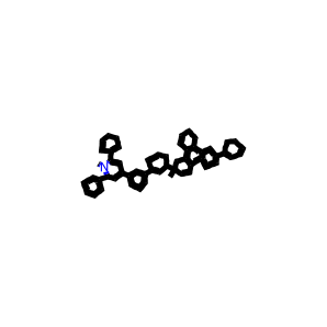 CN1C(C2=CCCC=C2)=CC(c2cccc(C3=CC(C4(C)C=Cc5c(c6c(c7cc(C8=CC=CCC8)ccc57)CCC=C6)C4)CC=C3)c2)=CC1c1ccccc1